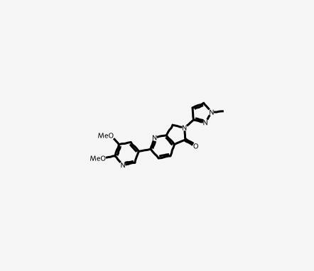 COc1cc(-c2ccc3c(n2)CN(c2ccn(C)n2)C3=O)cnc1OC